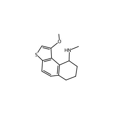 CNC1CCCc2ccc3scc(OC)c3c21